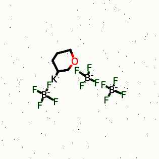 F[B-](F)(F)F.F[B-](F)(F)F.F[B-](F)(F)F.[K][CH]1CCCOC1